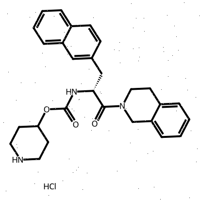 Cl.O=C(N[C@H](Cc1ccc2ccccc2c1)C(=O)N1CCc2ccccc2C1)OC1CCNCC1